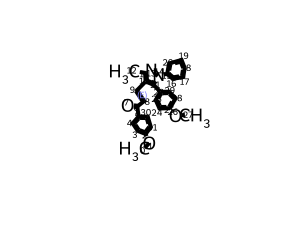 COc1ccc(C(=O)/C=C/c2c(C)nn(-c3ccccc3)c2-c2ccc(OC)cc2)cc1